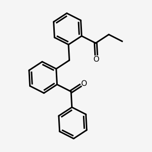 CCC(=O)c1ccccc1Cc1ccccc1C(=O)c1ccccc1